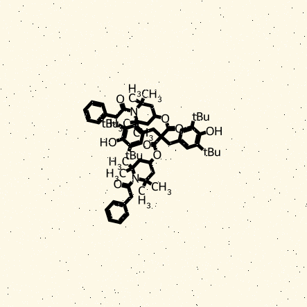 CC(C)(C)c1cc(CC(Cc2cc(C(C)(C)C)c(O)c(C(C)(C)C)c2)(C(=O)OC2CC(C)(C)N(C(=O)Cc3ccccc3)C(C)(C)C2)C(=O)OC2CC(C)(C)N(C(=O)Cc3ccccc3)C(C)(C)C2)cc(C(C)(C)C)c1O